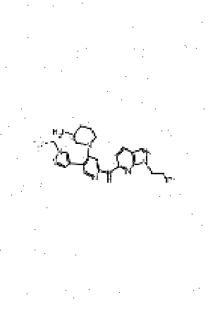 CC(C)CCn1ncc2ccc(Nc3cc(N4CCC[C@H](N)C4)c(-c4cnn(CC(F)(F)F)c4)cn3)nc21